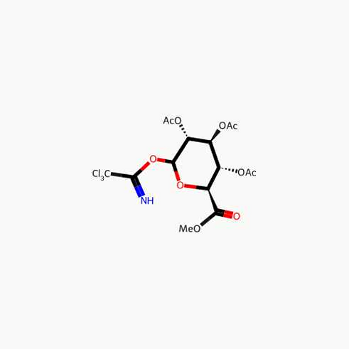 COC(=O)[C@H]1OC(OC(=N)C(Cl)(Cl)Cl)[C@H](OC(C)=O)[C@@H](OC(C)=O)[C@@H]1OC(C)=O